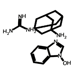 N=C(N)N.NC12CC3CC(CC(C3)C1)C2.On1cnc2ccccc21